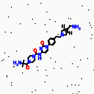 CC(C)(N)C(=O)N1CCN(C(=O)Nc2ccn(-c3ccc(CCN4C[C@@H]5C(CN)[C@@H]5C4)cc3)c(=O)n2)CC1